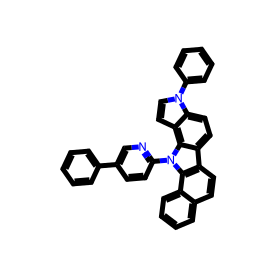 c1ccc(-c2ccc(-n3c4c5ccccc5ccc4c4ccc5c(ccn5-c5ccccc5)c43)nc2)cc1